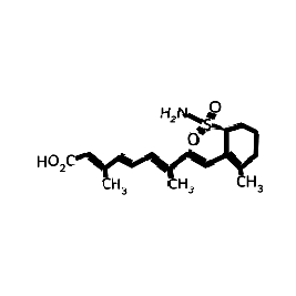 CC1=C(/C=C/C(C)=C/C=C/C(C)=C/C(=O)O)[C@@H](S(N)(=O)=O)CCC1